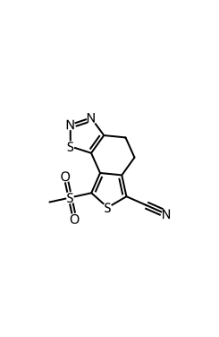 CS(=O)(=O)c1sc(C#N)c2c1-c1snnc1CC2